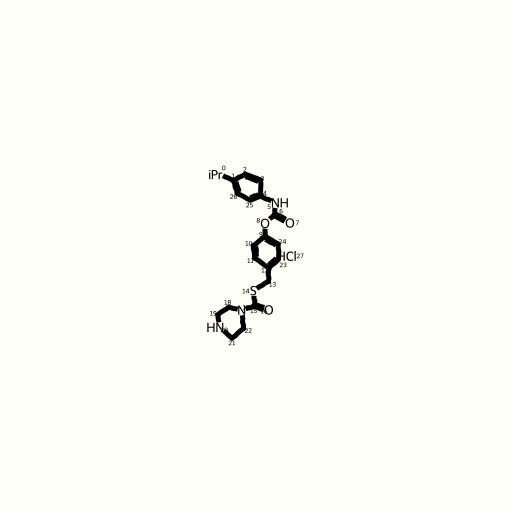 CC(C)c1ccc(NC(=O)Oc2ccc(CSC(=O)N3CCNCC3)cc2)cc1.Cl